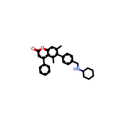 Cc1cc2oc(=O)cc(-c3ccccc3)c2c(C)c1-c1ccc(CNC2CCCCC2)cc1